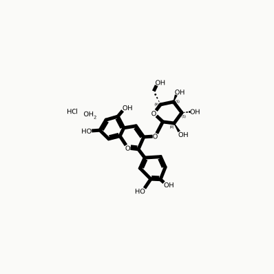 Cl.O.OC[C@H]1OC(Oc2cc3c(O)cc(O)cc3[o+]c2-c2ccc(O)c(O)c2)[C@H](O)[C@@H](O)[C@@H]1O